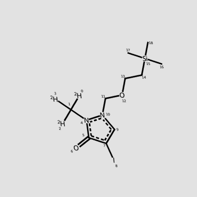 [2H]C([2H])([2H])n1c(=O)c(I)cn1COCC[Si](C)(C)C